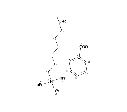 CCCCCCCCCCCCCCCC[N+](CCC)(CCC)CCC.O=C([O-])c1ccccn1